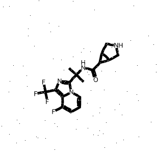 CC(C)(NC(=O)C1C2CNCC21)c1nc(C(F)(F)F)c2c(F)cccn12